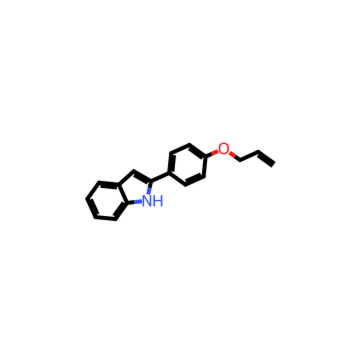 C=CCOc1ccc(-c2cc3ccccc3[nH]2)cc1